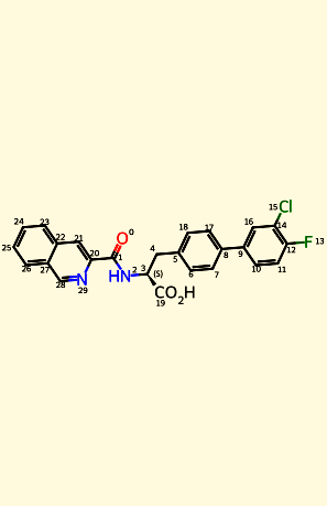 O=C(N[C@@H](Cc1ccc(-c2ccc(F)c(Cl)c2)cc1)C(=O)O)c1cc2ccccc2cn1